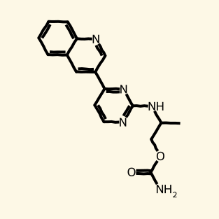 CC(COC(N)=O)Nc1nccc(-c2cnc3ccccc3c2)n1